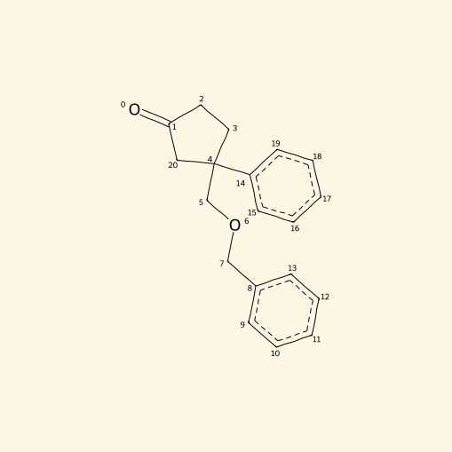 O=C1CCC(COCc2ccccc2)(c2ccccc2)C1